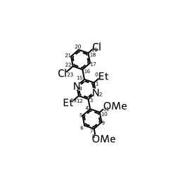 CCc1nc(-c2ccc(OC)cc2OC)c(CC)nc1-c1cc(Cl)ccc1Cl